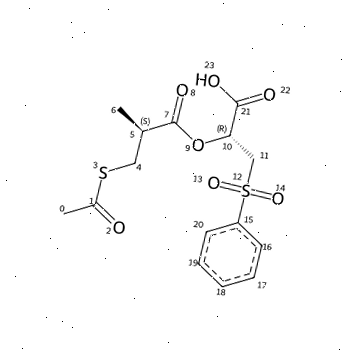 CC(=O)SC[C@@H](C)C(=O)O[C@@H](CS(=O)(=O)c1ccccc1)C(=O)O